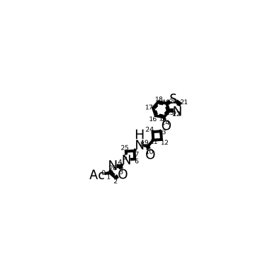 CC(=O)c1coc(N2CC(NC(=O)C3CC(Oc4cccc5scnc45)C3)C2)n1